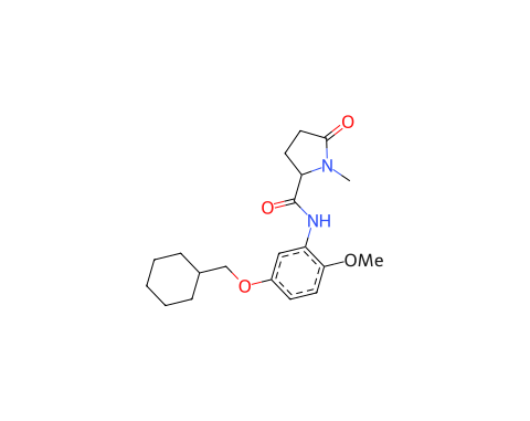 COc1ccc(OCC2CCCCC2)cc1NC(=O)C1CCC(=O)N1C